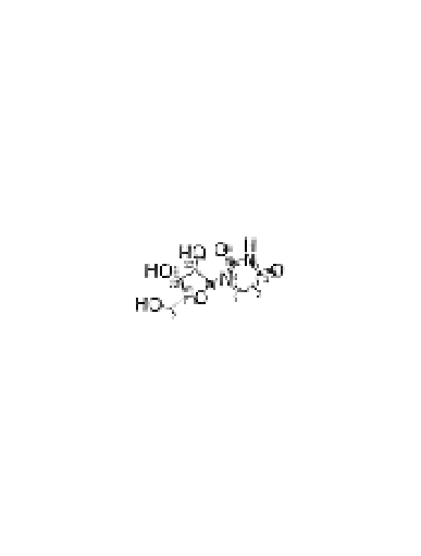 O=c1ccn([C@@H]2O[C@H](CO)[C@H](O)C2O)c(=O)[nH]1